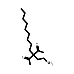 CCCCCCCCCC(CCN)(C(C)=O)C(C)=O